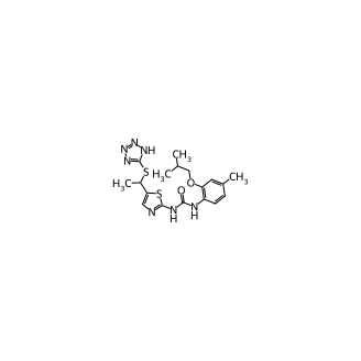 Cc1ccc(NC(=O)Nc2ncc(C(C)Sc3nnn[nH]3)s2)c(OCC(C)C)c1